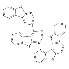 c1ccc2c(c1)sc1ccc(-c3nc(-n4c5ccccc5c5ccc6sc7ccccc7c6c54)nc4sc5ccccc5c34)cc12